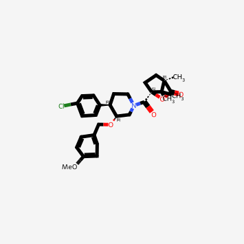 COc1ccc(CO[C@H]2CN(C(=O)[C@@]34CC[C@@](C)(C(=O)O3)C4(C)C)CC[C@@H]2c2ccc(Cl)cc2)cc1